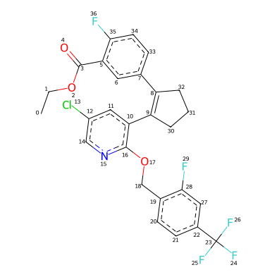 CCOC(=O)c1cc(C2=C(c3cc(Cl)cnc3OCc3ccc(C(F)(F)F)cc3F)CCC2)ccc1F